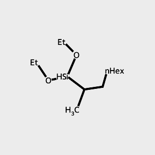 CCCCCCCC(C)[SiH](OCC)OCC